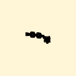 CC(C)S(=O)(=O)NCCc1ccc(-c2ccc(C#N)cc2)cc1